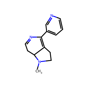 CN1CCC2=C(c3cccnc3)N=CCC21